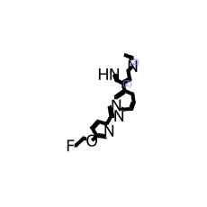 C/C=N\C/C=C(\C=N)C1=Cn2cc(-c3ccc(OCCF)cn3)nc2C=CC1